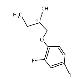 CC[C@H](C)COc1ccc(I)cc1F